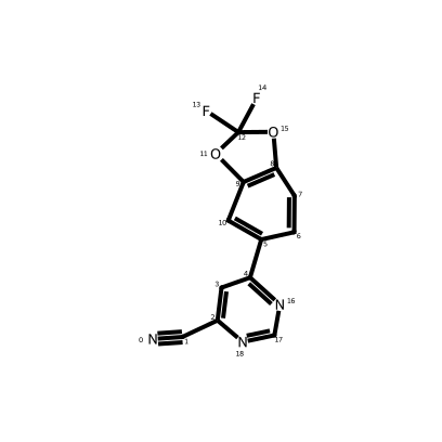 N#Cc1cc(-c2ccc3c(c2)OC(F)(F)O3)ncn1